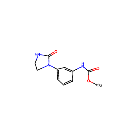 CC(C)(C)OC(=O)Nc1cccc(N2CCNC2=O)c1